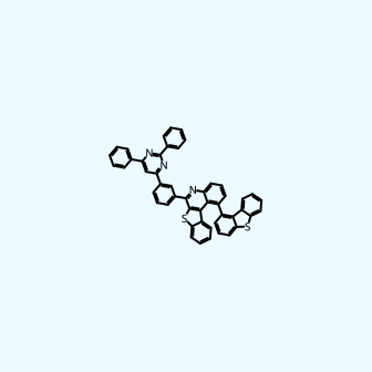 c1ccc(-c2cc(-c3cccc(-c4nc5cccc(-c6cccc7sc8ccccc8c67)c5c5c4sc4ccccc45)c3)nc(-c3ccccc3)n2)cc1